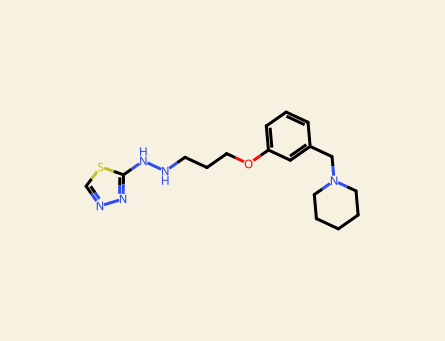 c1cc(CN2CCCCC2)cc(OCCCNNc2nncs2)c1